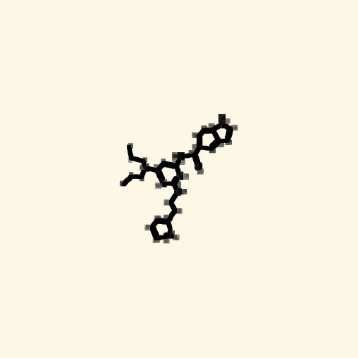 CCCN(CCC)c1cc(NC(=O)c2ccc3[nH]ccc3c2)nc(OCCc2ccccn2)n1